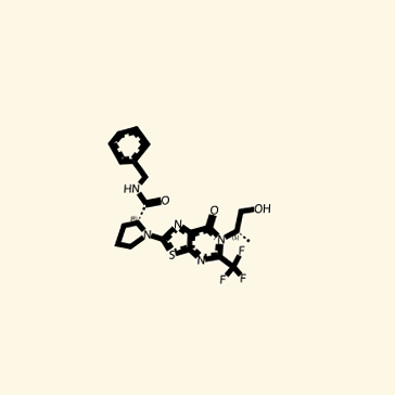 C[C@@H](CO)n1c(C(F)(F)F)nc2sc(N3CCC[C@@H]3C(=O)NCc3ccccc3)nc2c1=O